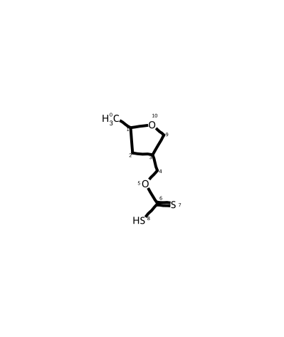 CC1CC(COC(=S)S)CO1